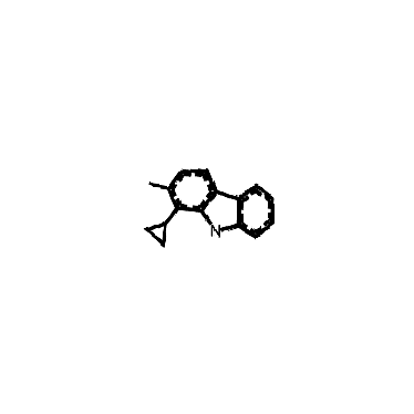 Cc1ccc2c(c1C1CC1)[N]c1ccccc1-2